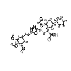 COc1cc(C=Cc2nnc(C(CCC(=O)O)N(C=O)c3ccc(-c4ccccc4)cc3)o2)cc(OC)c1OC